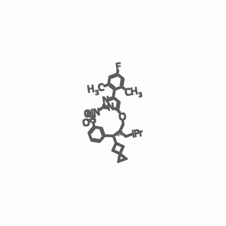 Cc1cc(F)cc(C)c1-c1cc2nc(n1)NS(=O)(=O)c1cccc(c1)C(C1CC3(CC3)C1)[C@H](CC(C)C)CO2